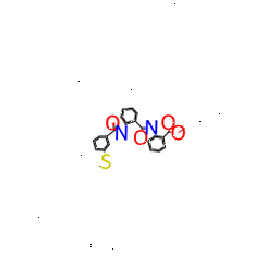 COC(=O)c1cccc2oc(-c3cccc4oc(-c5cccc(SC)c5)nc34)nc12